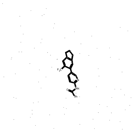 CC(C)C(=O)Nc1ccc(-c2cc3c(cc2C(F)(F)F)CCC3)cn1